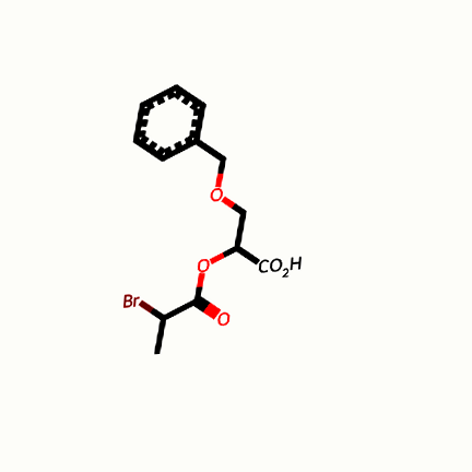 CC(Br)C(=O)OC(COCc1ccccc1)C(=O)O